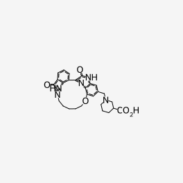 O=C(O)C1CCCN(Cc2cc3c4nc(c(=O)[nH]c4c2)-c2cccc4c(=O)n([nH]c24)CCCCCO3)C1